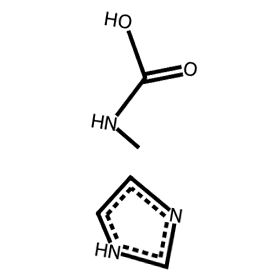 CNC(=O)O.c1c[nH]cn1